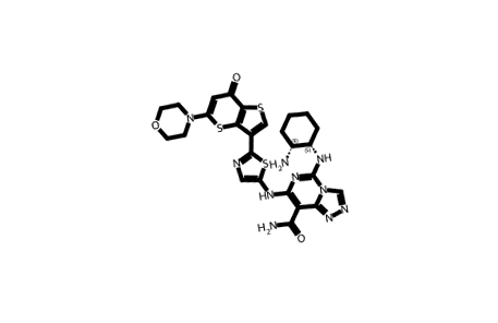 NC(=O)c1c(Nc2cnc(-c3csc4c(=O)cc(N5CCOCC5)sc34)s2)nc(N[C@H]2CCCC[C@H]2N)n2cnnc12